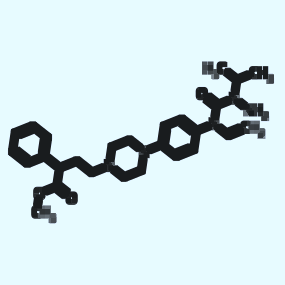 C=CN(C(=O)N(N)C(C)C)c1ccc(N2CCN(CCC(C(=O)OC)c3ccccc3)CC2)cc1